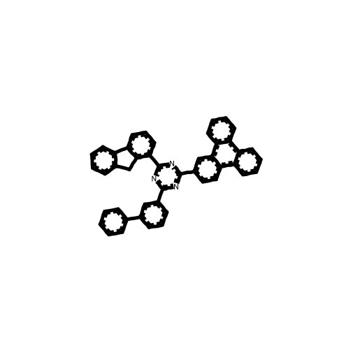 c1ccc(-c2cccc(-c3nc(-c4ccc5c6ccccc6c6ccccc6c5c4)nc(-c4cccc5c4Cc4ccccc4-5)n3)c2)cc1